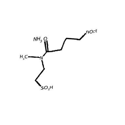 CCCCCCCCCCCC(=O)N(C)CCS(=O)(=O)O.N